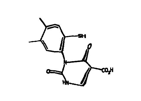 Cc1cc(S)c(-n2c(=O)[nH]cc(C(=O)O)c2=O)cc1C